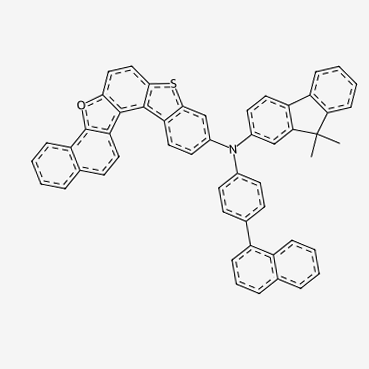 CC1(C)c2ccccc2-c2ccc(N(c3ccc(-c4cccc5ccccc45)cc3)c3ccc4c(c3)sc3ccc5oc6c7ccccc7ccc6c5c34)cc21